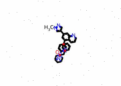 Cn1cc(-c2cc(-c3ccc(N4CC5CC(C4)N5C(=O)Cc4ccccc4)nc3)c3cccnc3c2)cn1